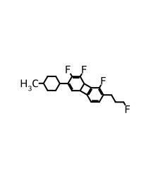 CC1CCC(C2=CC3c4ccc(CCCF)c(F)c4C3C(F)=C2F)CC1